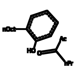 CCCC(=O)C(C)=O.CCCCCCCCc1ccccc1O